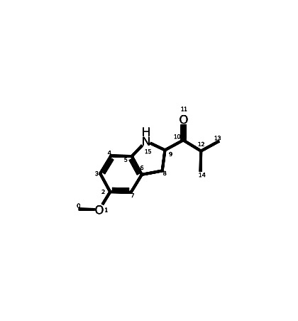 COc1ccc2c(c1)CC(C(=O)C(C)C)N2